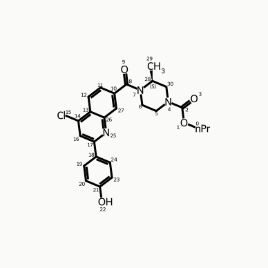 CCCOC(=O)N1CCN(C(=O)c2ccc3c(Cl)cc(-c4ccc(O)cc4)nc3c2)[C@@H](C)C1